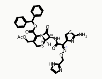 CC(=O)OCC1=C(C(=O)OC(c2ccccc2)c2ccccc2)N2C(=O)[C@@H](NC(=O)/C(=N\OCc3ncc[nH]3)c3csc(N)n3)[C@H]2SC1